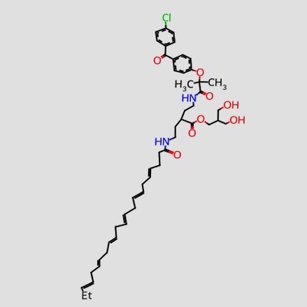 CCC=CCC=CCC=CCC=CCC=CCC=CCCC(=O)NCCC(CCNC(=O)C(C)(C)Oc1ccc(C(=O)c2ccc(Cl)cc2)cc1)C(=O)OCC(CO)CO